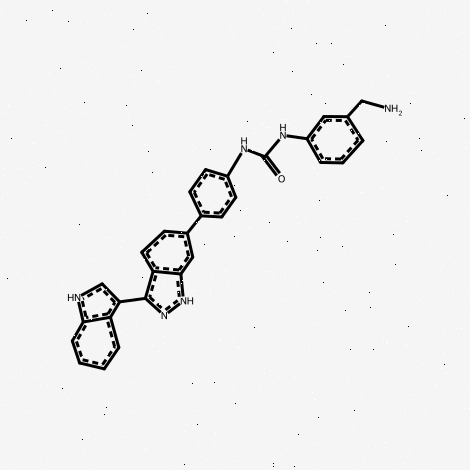 NCc1cccc(NC(=O)Nc2ccc(-c3ccc4c(-c5c[nH]c6ccccc56)n[nH]c4c3)cc2)c1